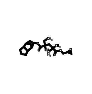 CCC(C)(CC(C)(C)C(=O)OCC1CO1)C(=O)OC1CC2CC1C1CCCC21